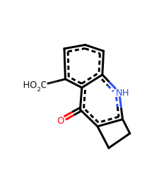 O=C(O)c1cccc2[nH]c3c(c(=O)c12)CC3